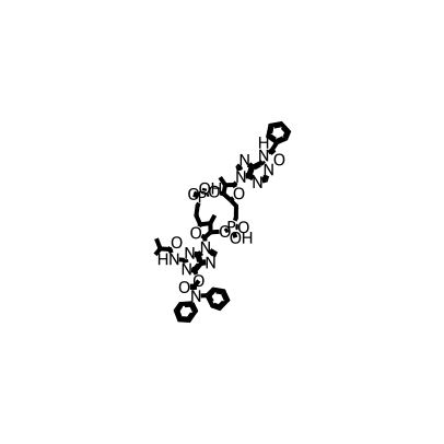 CC(C)C(=O)Nc1nc(OC(=O)N(c2ccccc2)c2ccccc2)c2ncn(C3OC4CCP(=O)(O)OC5C(CCP(=O)(O)OC3C4C)OC(n3cnc4c(NC(=O)c6ccccc6)ncnc43)C5C)c2n1